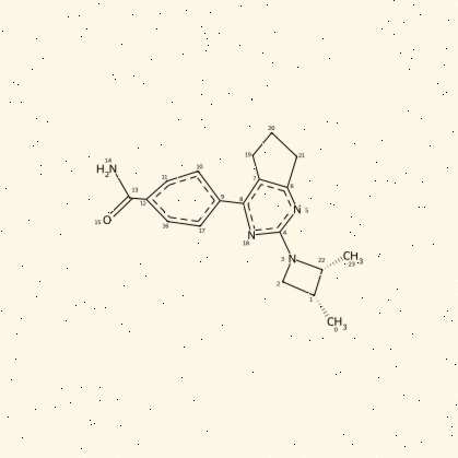 C[C@@H]1CN(c2nc3c(c(-c4ccc(C(N)=O)cc4)n2)CCC3)[C@@H]1C